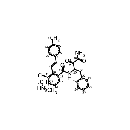 CNC.Cc1ccc(C=Cc2c(Cl)cccc2C(=O)NC(Cc2ccccc2)C(=O)C(N)=O)cc1